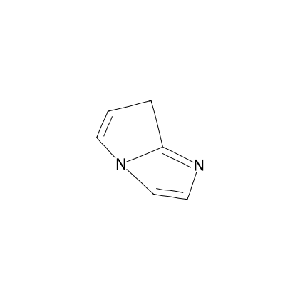 C1=Cn2ccnc2C1